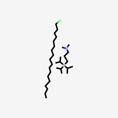 CC(C)[Si](CCCN(C)C)(C(C)C)C(C)C.CCCCCCCCCCCCCCCCCCCl